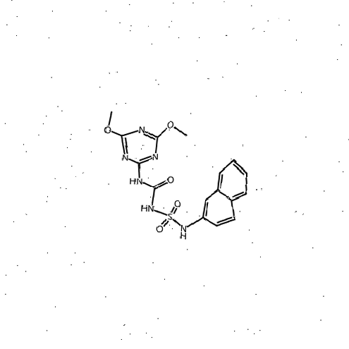 COc1nc(NC(=O)NS(=O)(=O)Nc2ccc3ccccc3c2)nc(OC)n1